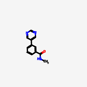 CNC(=O)c1c[c]cc(-c2cncnc2)c1